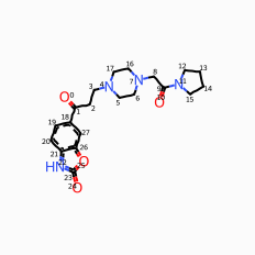 O=C(CCN1CCN(CC(=O)N2CCCC2)CC1)c1ccc2[nH]c(=O)oc2c1